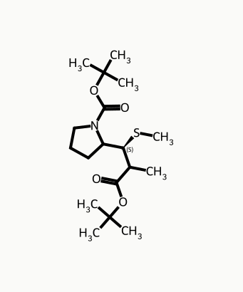 CS[C@@H](C(C)C(=O)OC(C)(C)C)C1CCCN1C(=O)OC(C)(C)C